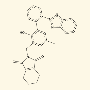 Cc1cc(CN2C(=O)C3=C(CCCC3)C2=O)c(O)c(-c2ccccc2-n2nc3ccccc3n2)c1